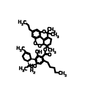 C=C(C)[C@@H]1CCC(C)=C[C@H]1c1c(O)cc(CCCCC)c(C(=O)OC2(C)CCC3=C4c5c(cc(CCC)cc5OC3(C)C)OOC42)c1O